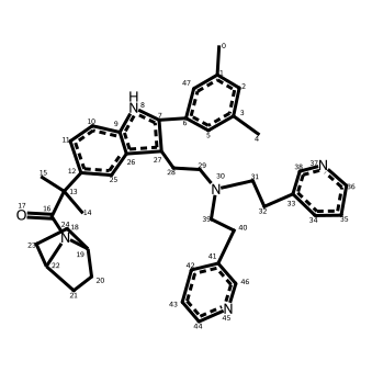 Cc1cc(C)cc(-c2[nH]c3ccc(C(C)(C)C(=O)N4C5CCC4CC5)cc3c2CCN(CCc2cccnc2)CCc2cccnc2)c1